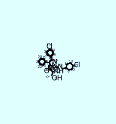 C[C@@H](O)[C@H](N/C(=N\CC1CCC(Cl)CC1)N1C[C@@H](c2ccccc2)C(c2ccc(Cl)cc2)=N1)C(N)=O